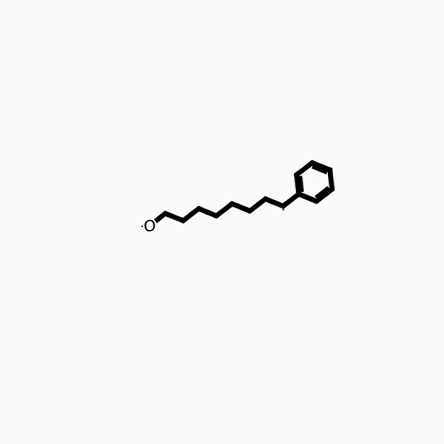 [O]CCCCCCC[CH]c1ccccc1